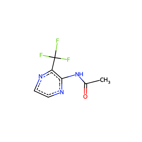 CC(=O)Nc1nccnc1C(F)(F)F